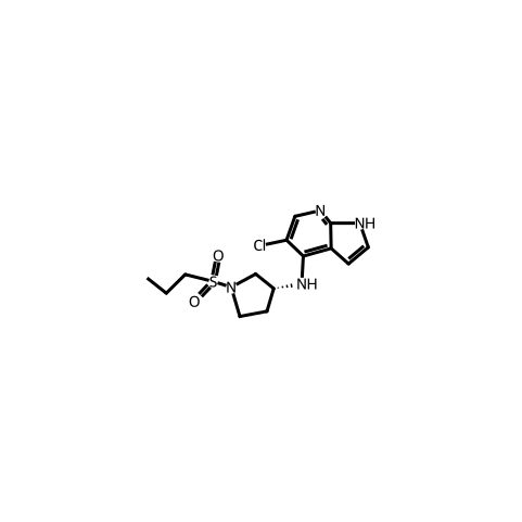 CCCS(=O)(=O)N1CC[C@@H](Nc2c(Cl)cnc3[nH]ccc23)C1